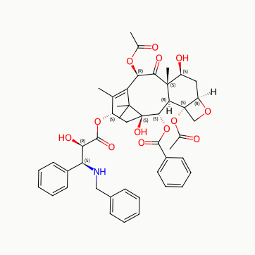 CC(=O)O[C@H]1C(=O)[C@@]2(C)[C@H]([C@H](OC(=O)c3ccccc3)[C@]3(O)C[C@H](OC(=O)[C@H](O)[C@@H](NCc4ccccc4)c4ccccc4)C(C)=C1C3(C)C)[C@]1(OC(C)=O)CO[C@@H]1C[C@@H]2O